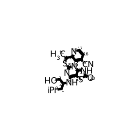 CC(C)CC(CO)Nc1nc(SC(C)c2cc(C#N)ccn2)nc2[nH]c(=O)sc12